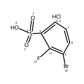 Cl.O=S(=O)(O)c1cccc(Br)c1F